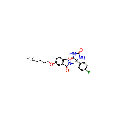 CCCCCOc1ccc2c(c1)C(=O)N(C[C@@]1(c3ccc(F)cc3)NC(=O)NC1=O)C2